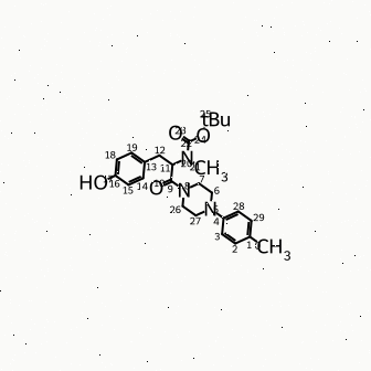 Cc1ccc(N2CCN(C(=O)C(Cc3ccc(O)cc3)N(C)C(=O)OC(C)(C)C)CC2)cc1